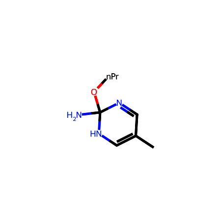 CCCOC1(N)N=CC(C)=CN1